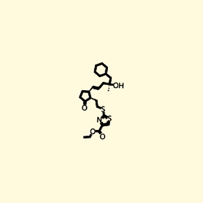 CCOC(=O)c1csc(SCC[C@H]2C(=O)CC[C@H]2/C=C/C[C@](C)(O)CC2CCCCC2)n1